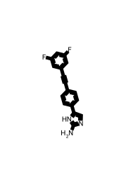 Nc1ncc(-c2ccc(C#Cc3cc(F)cc(F)c3)cc2)[nH]1